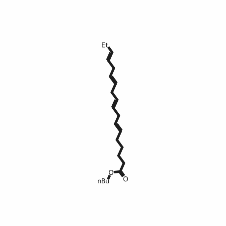 CCC=CCC=CCC=CCC=CCCCCC(=O)OCCCC